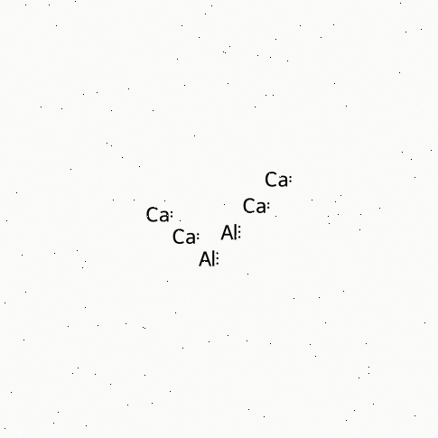 [Al].[Al].[Ca].[Ca].[Ca].[Ca]